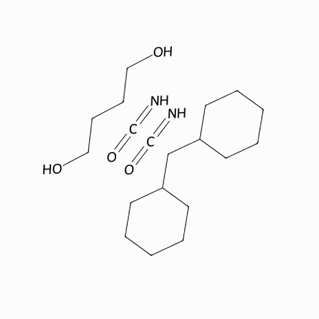 C1CCC(CC2CCCCC2)CC1.N=C=O.N=C=O.OCCCCO